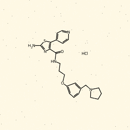 Cl.Nc1nc(C(=O)NCCCOc2cccc(CN3CCCC3)c2)c(-c2ccncc2)s1